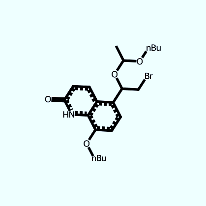 CCCCOc1ccc(C(CBr)OC(C)OCCCC)c2ccc(=O)[nH]c12